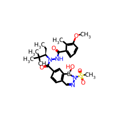 CC[C@@H](N(NC(=O)c1cccc(OC)c1C)C(=O)c1ccc2c(c1)B(O)N(S(C)(=O)=O)N=C2)C(C)(C)C